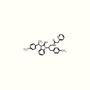 Cc1ccc(CC(CNC(=O)Cc2ccccn2)n2c(=N)n(C(C)c3ccc(C)cc3)c3ccccc32)cc1